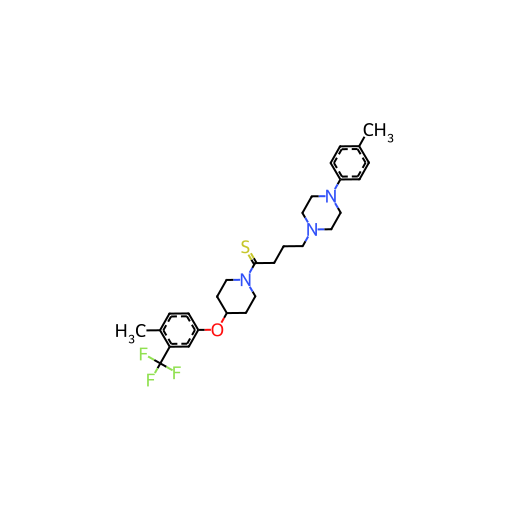 Cc1ccc(N2CCN(CCCC(=S)N3CCC(Oc4ccc(C)c(C(F)(F)F)c4)CC3)CC2)cc1